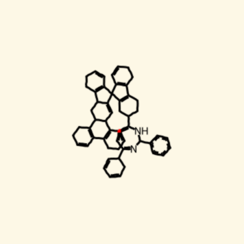 C1=CC(C2C=CC=CC2)=NC(c2ccccc2)NC=1C1CCC2=C(C1)C1(C3=CC4C5=C(CCC=C5)C5=C(CCC=C5)C4CC3C3=C1C=CCC3)C1=C2CCC=C1